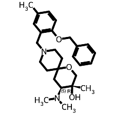 Cc1ccc(OCc2ccccc2)c(CN2CCC3(CC2)C[C@H](N(C)C)[C@@](C)(O)CO3)c1